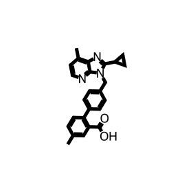 Cc1ccc(-c2ccc(Cn3c(C4CC4)nc4c(C)ccnc43)cc2)c(C(=O)O)c1